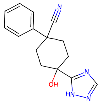 N#CC1(c2ccccc2)CCC(O)(c2ncn[nH]2)CC1